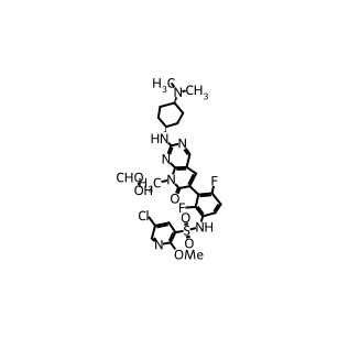 COc1ncc(Cl)cc1S(=O)(=O)Nc1ccc(F)c(-c2cc3cnc(N[C@H]4CC[C@H](N(C)C)CC4)nc3n(C)c2=O)c1F.O=CO